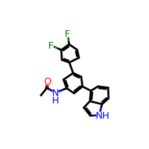 CC(=O)Nc1cc(-c2ccc(F)c(F)c2)cc(-c2cccc3[nH]ccc23)c1